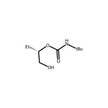 CC[C@@H](CO)OC(=O)NC(C)(C)C